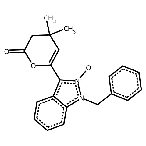 CC1(C)C=C(c2c3ccccc3n(Cc3ccccc3)[n+]2[O-])OC(=O)C1